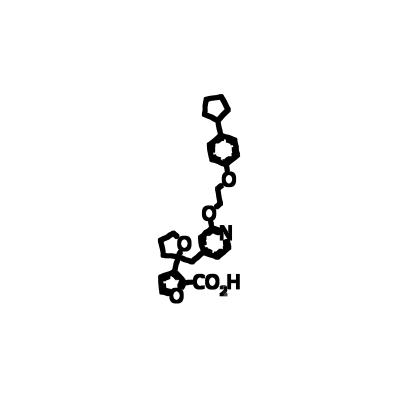 O=C(O)c1occc1C1(Cc2ccnc(OCCOc3ccc(C4CCCC4)cc3)c2)CCCO1